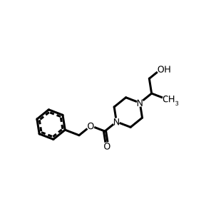 CC(CO)N1CCN(C(=O)OCc2ccccc2)CC1